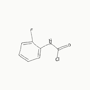 O=C(Cl)Nc1ccccc1F